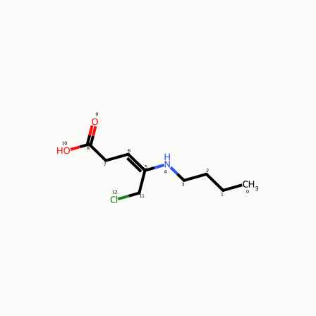 CCCCNC(=CCC(=O)O)CCl